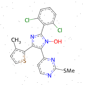 CSc1nccc(-c2c(-c3sccc3C)nc(-c3c(Cl)cccc3Cl)n2O)n1